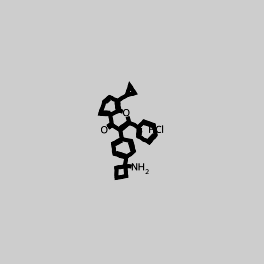 Cl.NC1(c2ccc(-c3c(-c4ccccc4)oc4c(C5CC5)cccc4c3=O)cc2)CCC1